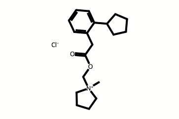 C[N+]1(COC(=O)Cc2ccccc2C2CCCC2)CCCC1.[Cl-]